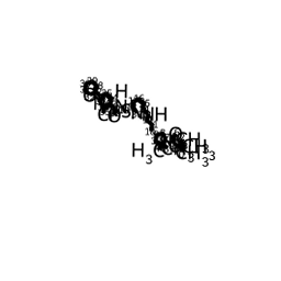 CC(C)(C)OC(=O)N1C[C@@H](CCCNc2cccc(SNC(=O)c3ccc(C4=CCCCO4)nc3Cl)n2)CC1(C)C